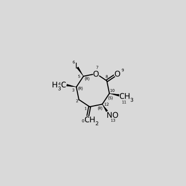 C=C1C[C@@H](C)[C@@H](I)OC(=O)[C@@H](C)[C@H]1N=O